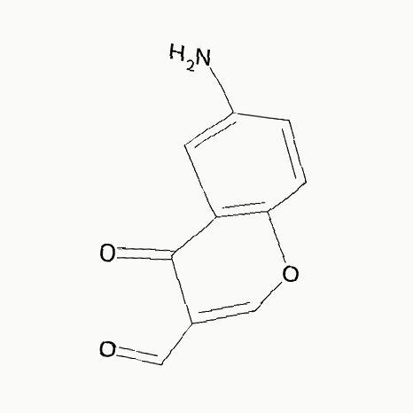 Nc1ccc2occ(C=O)c(=O)c2c1